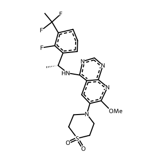 COc1nc2ncnc(N[C@H](C)c3cccc(C(C)(F)F)c3F)c2cc1N1CCS(=O)(=O)CC1